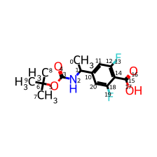 CC(NC(=O)OC(C)(C)C)c1cc(F)c(C(=O)O)c(F)c1